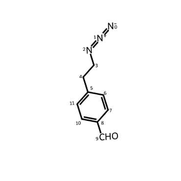 [N-]=[N+]=NCCc1ccc(C=O)cc1